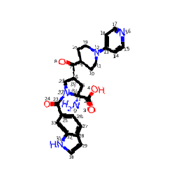 N[C@@]1(C(=O)O)C[C@H](C(=O)C2CCN(c3ccncc3)CC2)CN1C(=O)c1ccc2cc[nH]c2c1